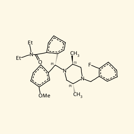 CCN(CC)C(=O)c1ccccc1[C@@H](c1cccc(OC)c1)N1C[C@@H](C)N(Cc2ccccc2F)C[C@@H]1C